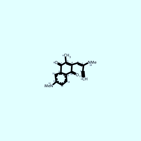 C#C/C(=C\C1=C(C)C(=O)c2cc(NC)ccc2C1=O)NC